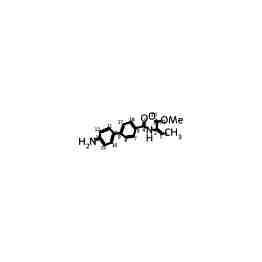 C/C=C(/NC(=O)c1ccc(-c2ccc(N)cc2)cc1)C(=O)OC